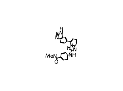 CNC(=O)c1ccc(Nc2nc3cccc(-c4ccc5nn[nH]c5c4)n3n2)cc1